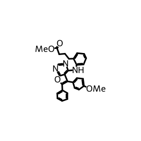 COC(=O)CCCc1ccccc1Nc1ncnc2oc(-c3ccccc3)c(-c3ccc(OC)cc3)c12